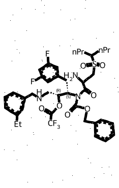 CCCC(CCC)S(=O)(=O)CC(N)C(=O)N(C(=O)OCc1ccccc1)[C@@H](Cc1cc(F)cc(F)c1)[C@@H](CNCc1cccc(CC)c1)OC(=O)C(F)(F)F